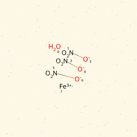 O.O=[N+]([O-])[O-].O=[N+]([O-])[O-].O=[N+]([O-])[O-].[Fe+3]